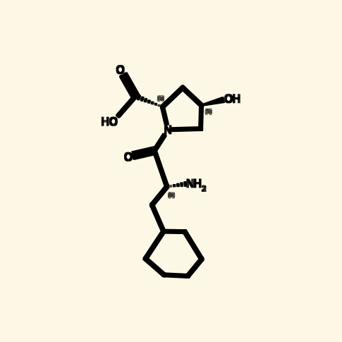 N[C@H](CC1CCCCC1)C(=O)N1C[C@H](O)C[C@H]1C(=O)O